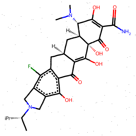 CC(C)[C@@H](C)N1Cc2c(O)c3c(c(F)c2C1)C[C@H]1C[C@H]2[C@H](N(C)C)C(O)=C(C(N)=O)C(=O)[C@@]2(O)C(O)=C1C3=O